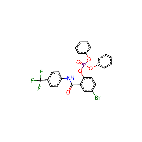 O=C(Nc1ccc(C(F)(F)F)cc1)c1cc(Br)ccc1OP(=O)(Oc1ccccc1)Oc1ccccc1